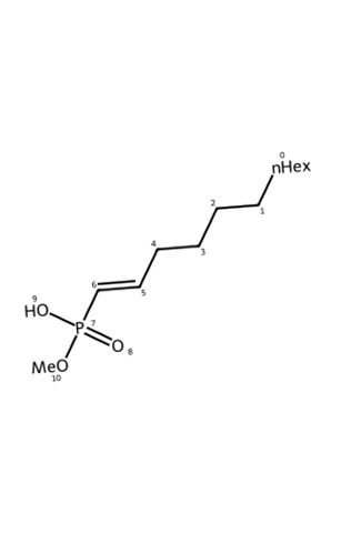 CCCCCCCCCCC=CP(=O)(O)OC